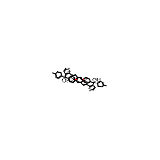 Cc1ccc(C(O)(c2ccc(C)cc2)c2ccsc2-c2cc3cc4sc(-c5sccc5C(O)(c5ccc(C)cc5)c5ccc(C)cc5)cc4cc3s2)cc1